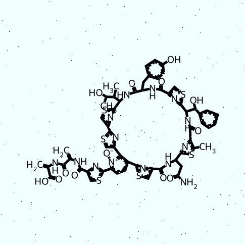 C=C(NC(=O)C(=C)NC(=O)c1csc(-c2ccc3c([n+]2[O-])-c2csc(n2)-c2csc(n2)C(C(C)C(C)O)NC(=O)C(Cc2ccc(O)cc2)NC(=O)c2csc(n2)C(C(O)c2ccccc2)NC(=O)c2nc(sc2C)C(CC(N)=O)NC(=O)c2csc-3n2)n1)C(=O)O